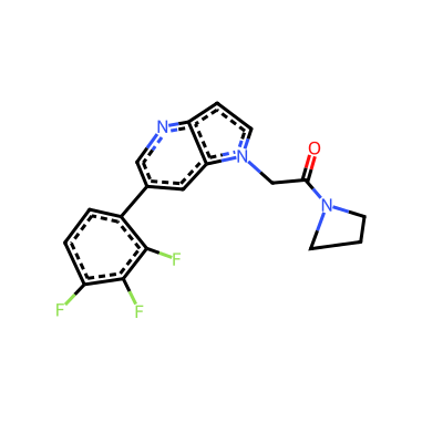 O=C(Cn1ccc2ncc(-c3ccc(F)c(F)c3F)cc21)N1CCC1